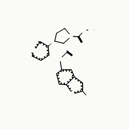 CC(C)(C)OC(=O)N1CC[C@H](c2ccccc2)[C@H]1C(=O)Nc1ccc2[nH]c(C(=O)O)cc2c1